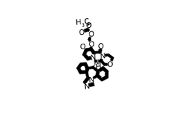 COC(=O)OCOc1c2n(ccc1=O)N([C@H]1c3ccccc3-c3cncn3-c3ccccc31)[C@@H]1COCCN1C2=O